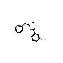 O=C(N[C@H](CO)Cc1ccccc1)c1cccc(O)c1